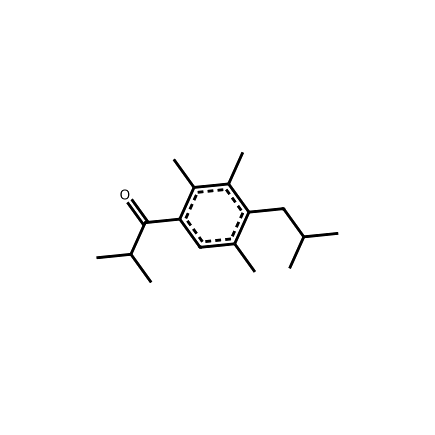 Cc1cc(C(=O)C(C)C)c(C)c(C)c1CC(C)C